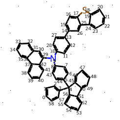 c1ccc(C2(c3ccc(N(c4ccc(-c5ccc6sc7ccccc7c6c5)cc4)c4cc5ccccc5c5ccccc45)cc3)c3ccccc3-c3ccccc32)cc1